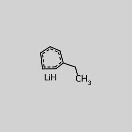 CCc1ccccc1.[LiH]